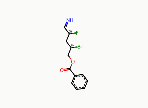 N=C[C@@H](F)C[C@@H](Br)COC(=O)c1ccccc1